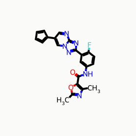 Cc1nc(C)c(C(=O)Nc2ccc(F)c(-c3nc4ncc(C5=C=CC=C5)cn4n3)c2)o1